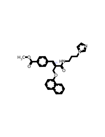 COC(=O)c1ccc(/C=C(\COc2cccc3ccccc23)C(=O)NCCCn2ccnc2)cc1